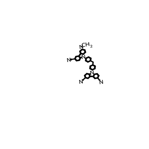 C=Nc1ccc2c(c1)c1cc(C#N)ccc1n2-c1ccc(Cc2ccc(-n3c4ccc(C#N)cc4c4cc(C#N)ccc43)cc2)cc1